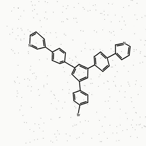 Brc1ccc(-c2cc(-c3ccc(-c4cccnc4)cc3)cc(-c3ccc(-c4cccnc4)cc3)c2)cc1